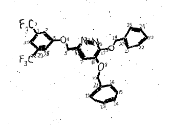 FC(F)(F)c1cc(OCc2cc(OCc3ccccc3)c(OCc3ccccc3)nn2)cc(C(F)(F)F)c1